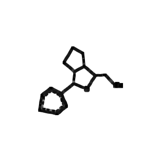 CC(C)(C)CC1OC(c2ccccc2)C2CCCC12